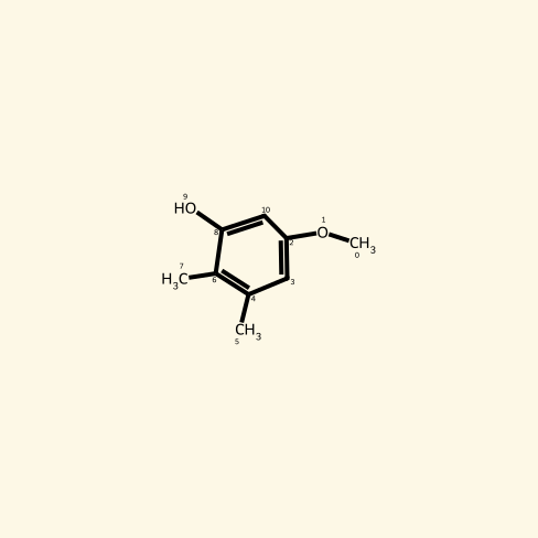 COc1cc(C)c(C)c(O)c1